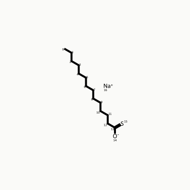 CCCCCCCCCCCCCC([O-])=S.[Na+]